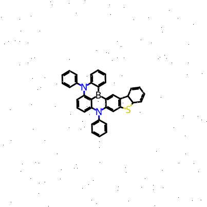 C1=CC2Sc3cc4c(cc3C2C=C1)B1c2ccccc2N(c2ccccc2)c2cccc(c21)N4c1ccccc1